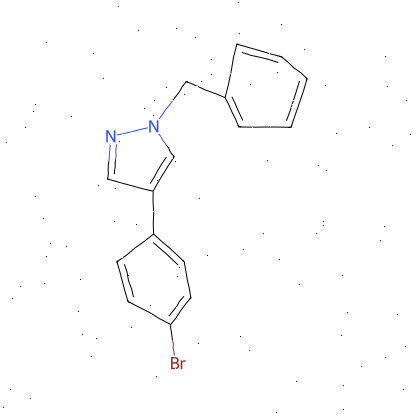 Brc1ccc(-c2cnn(Cc3ccccc3)c2)cc1